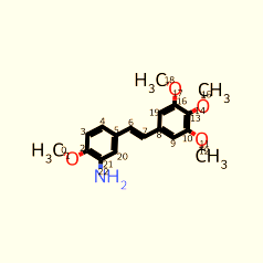 COc1ccc(C=Cc2cc(OC)c(OC)c(OC)c2)cc1N